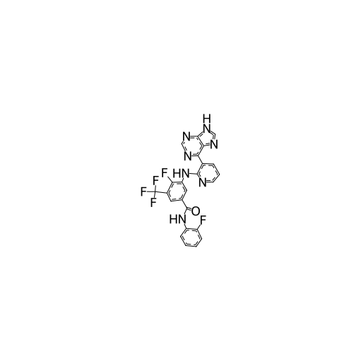 O=C(Nc1ccccc1F)c1cc(Nc2ncccc2-c2ncnc3[nH]cnc23)c(F)c(C(F)(F)F)c1